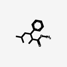 CC(C)CC(c1ccccc1)C(C)C(=O)OP